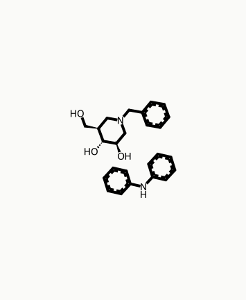 OC[C@H]1CN(Cc2ccccc2)C[C@@H](O)[C@@H]1O.c1ccc(Nc2ccccc2)cc1